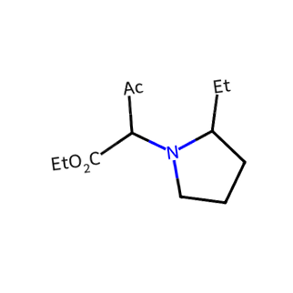 CCOC(=O)C(C(C)=O)N1CCCC1CC